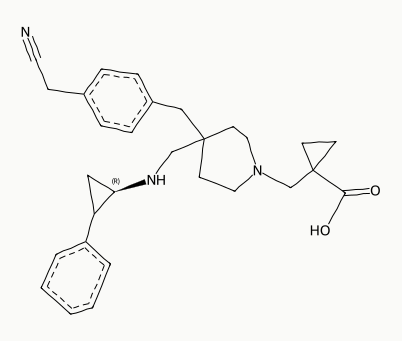 N#CCc1ccc(CC2(CN[C@@H]3CC3c3ccccc3)CCN(CC3(C(=O)O)CC3)CC2)cc1